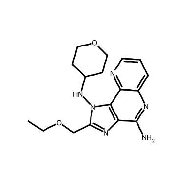 CCOCc1nc2c(N)nc3cccnc3c2n1NC1CCOCC1